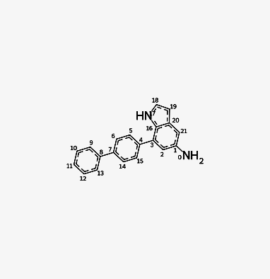 Nc1cc(-c2ccc(-c3ccccc3)cc2)c2[nH]ccc2c1